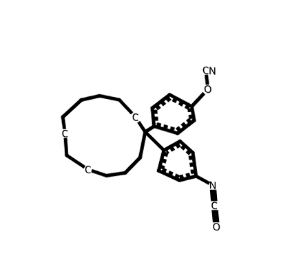 N#COc1ccc(C2(c3ccc(N=C=O)cc3)CCCCCCCCCCC2)cc1